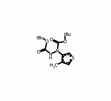 Cc1cscc1N(NC(=O)OC(C)(C)C)C(=O)OC(C)(C)C